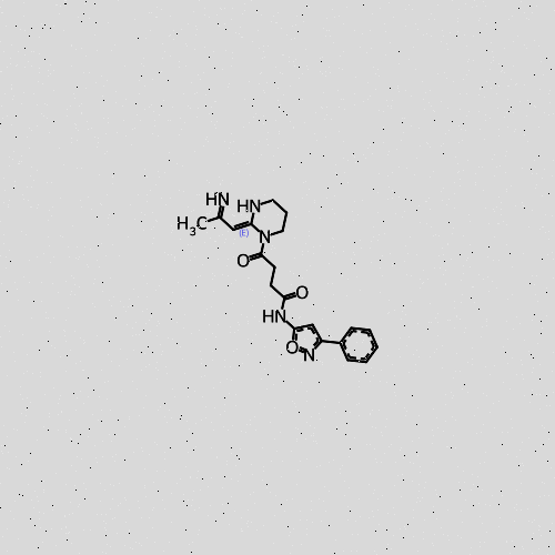 CC(=N)/C=C1\NCCCN1C(=O)CCC(=O)Nc1cc(-c2ccccc2)no1